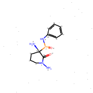 NN1CCC[C@](N)([PH](=O)Nc2ccccc2)C1=O